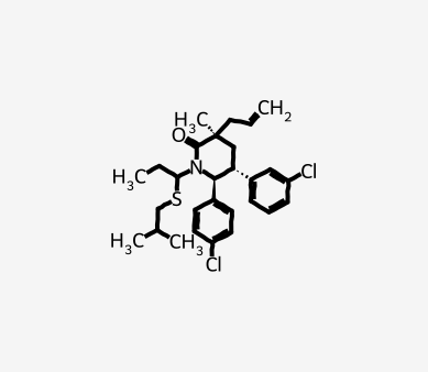 C=CC[C@@]1(C)C[C@H](c2cccc(Cl)c2)[C@@H](c2ccc(Cl)cc2)N(C(CC)SCC(C)C)C1=O